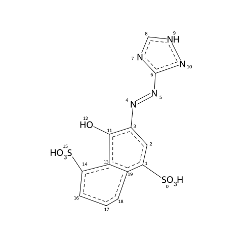 O=S(=O)(O)c1cc(N=Nc2nc[nH]n2)c(O)c2c(S(=O)(=O)O)cccc12